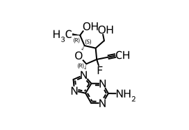 C#CC1(F)C(CO)[C@@H]([C@@H](C)O)O[C@H]1n1cnc2cnc(N)nc21